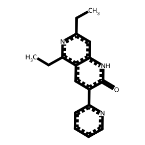 CCc1cc2[nH]c(=O)c(-c3ccccn3)cc2c(CC)n1